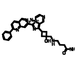 NC(=O)CCCNCC1(O)CC(C2=C3C=NC=C[N+]3(N)C(c3ccc4ccc(-c5ccccc5)nc4c3)=N2)C1